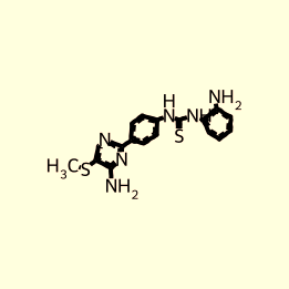 CSc1cnc(-c2ccc(NC(=S)Nc3ccccc3N)cc2)nc1N